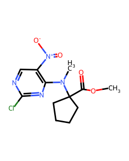 COC(=O)C1(N(C)c2nc(Cl)ncc2[N+](=O)[O-])CCCC1